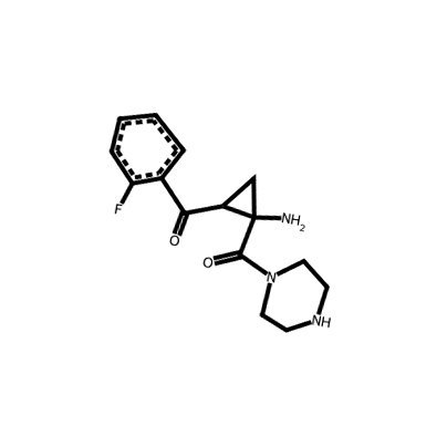 NC1(C(=O)N2CCNCC2)CC1C(=O)c1ccccc1F